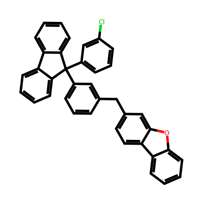 Clc1cccc(C2(c3cccc(Cc4ccc5c(c4)oc4ccccc45)c3)c3ccccc3-c3ccccc32)c1